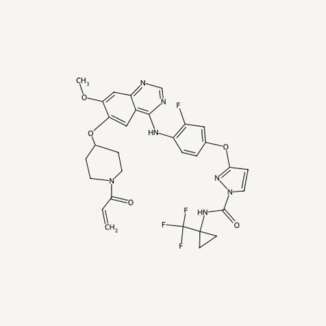 C=CC(=O)N1CCC(Oc2cc3c(Nc4ccc(Oc5ccn(C(=O)NC6(C(F)(F)F)CC6)n5)cc4F)ncnc3cc2OC)CC1